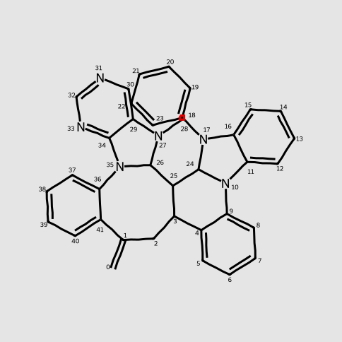 C=C1CC2c3ccccc3N3c4ccccc4N(c4ccccc4)C3C2C2N(C)c3cncnc3N2c2ccccc21